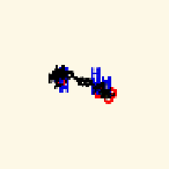 COC(=O)N[C@H](C(=O)N1CCC[C@H]1c1ncc(-c2ccc3cc(C#Cc4ccc5nc([C@@H]6[C@H]7CC[C@H](C7)N6C(=O)CC(C)C)[nH]c5c4)ccc3c2)[nH]1)C(C)C